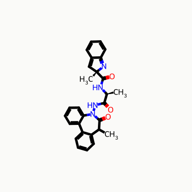 CC1C(=O)N(NC(=O)[C@H](C)NC(=O)[C@]2(C)C=c3ccccc3=N2)c2ccccc2-c2ccccc21